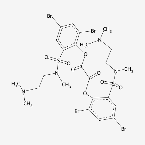 CN(C)CCN(C)S(=O)(=O)c1cc(Br)cc(Br)c1OC(=O)C(=O)Oc1c(Br)cc(Br)cc1S(=O)(=O)N(C)CCN(C)C